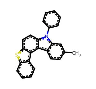 Cc1ccc2c3c4c(ccc3n(-c3ccccc3)c2c1)sc1ccccc14